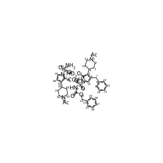 CC(=O)N1CCC(c2c(Cc3ccccc3)cn(S(=O)(=O)NC(=O)OCc3ccccc3)c2C(=O)O)CC1.CC(=O)N1CCC(c2ccn(S(N)(=O)=O)c2C(=O)O)CC1